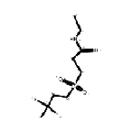 CCNC(=O)CCS(=O)(=O)CCC(C)(F)F